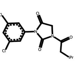 CC(C)CC(=O)N1CC(=O)N(c2cc(Cl)cc(Cl)c2)C1=O